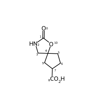 O=C1NCC2(CCC(C(=O)O)C2)O1